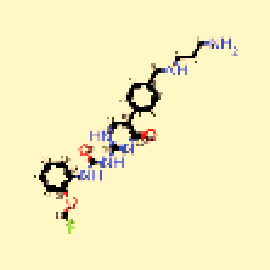 NCCCNCc1ccc(-c2c[nH]c(NC(=O)Nc3ccccc3OCF)nc2=O)cc1